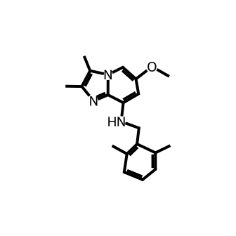 COc1cc(NCc2c(C)cccc2C)c2nc(C)c(C)n2c1